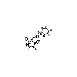 CC1=C[N]C(=O)N(COCc2ccccc2)C1=O